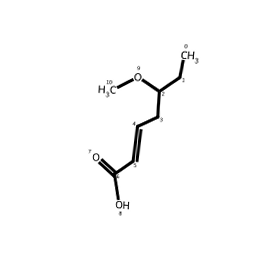 CCC(CC=CC(=O)O)OC